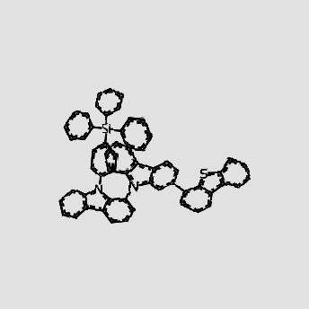 c1ccc([Si](c2ccccc2)(c2ccccc2)c2ccc(-n3c4ccccc4c4cccc(-n5c6ccccc6c6ccc(-c7cccc8c7sc7ccccc78)cc65)c43)cc2)cc1